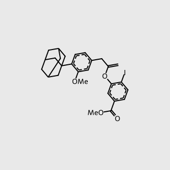 C=C(Cc1ccc(C23CC4CC(CC(C4)C2)C3)c(OC)c1)Oc1cc(C(=O)OC)ccc1I